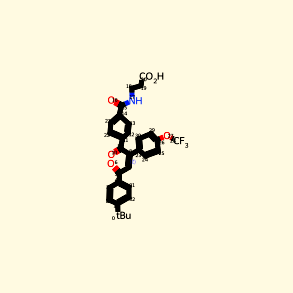 CC(C)(C)c1ccc(C(=O)/C=C(\C(=O)c2ccc(C(=O)NCCC(=O)O)cc2)c2ccc(OC(F)(F)F)cc2)cc1